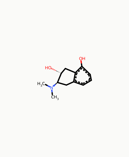 CN(C)[C@@H]1Cc2cccc(O)c2C[C@H]1O